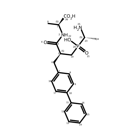 C[C@H](NC(=O)[C@H](Cc1ccc(-c2ccccc2)cc1)CP(=O)(O)[C@@H](C)N)C(=O)O